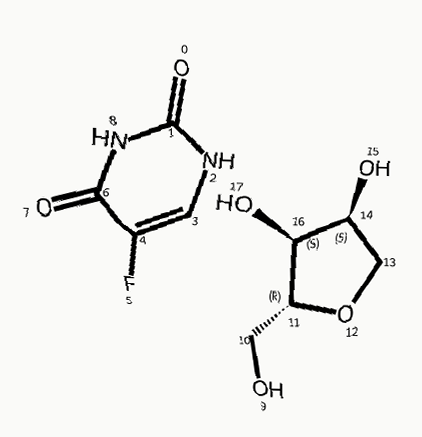 O=c1[nH]cc(F)c(=O)[nH]1.OC[C@H]1OC[C@H](O)[C@@H]1O